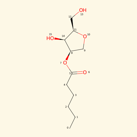 CCCCCC(=O)O[C@@H]1CO[C@H](CO)[C@@H]1O